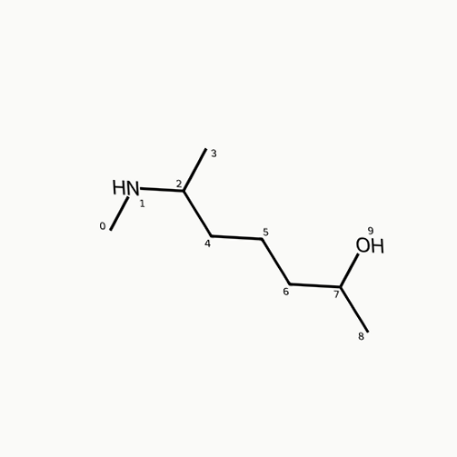 CNC(C)CCCC(C)O